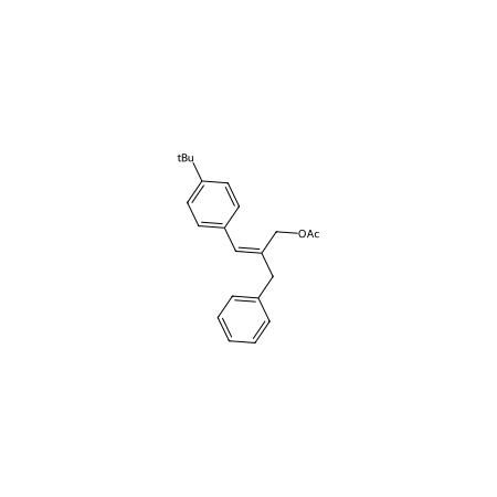 CC(=O)OC/C(=C\c1ccc(C(C)(C)C)cc1)Cc1ccccc1